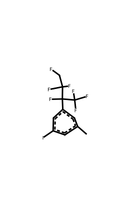 Cc1[c]c(I)cc(C(F)(C(F)(F)F)C(F)(F)CF)c1